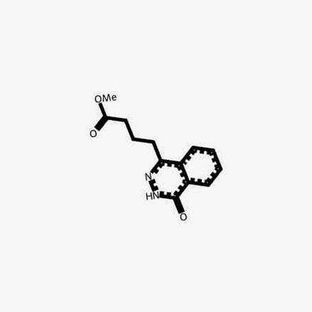 COC(=O)CCCc1n[nH]c(=O)c2ccccc12